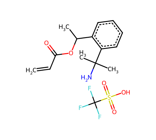 C=CC(=O)OC(C)c1ccccc1C(C)(C)N.O=S(=O)(O)C(F)(F)F